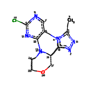 Cc1nnc2n1-c1cnc(Cl)nc1N1CCOCC21